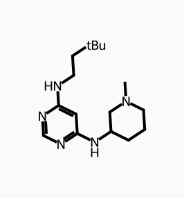 CN1CCCC(Nc2cc(NCCC(C)(C)C)ncn2)C1